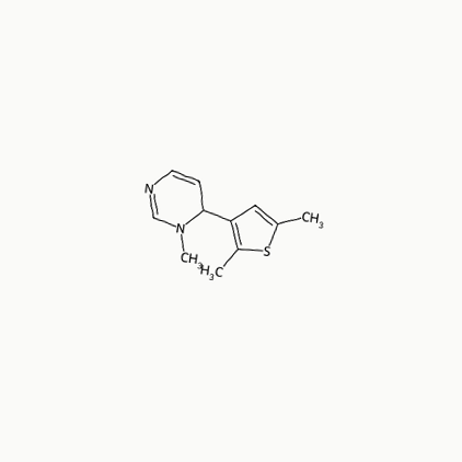 Cc1cc(C2C=CN=CN2C)c(C)s1